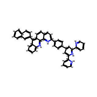 c1ccc(-c2cc(-c3ccc(-c4ccc5ccc6c(-c7ccc8ccccc8c7)c7ccccc7nc6c5n4)cc3)cc(-c3ccccn3)n2)nc1